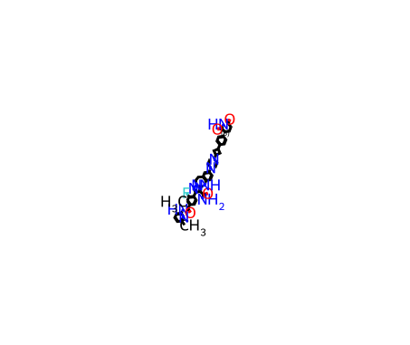 Cc1cccc(NC(=O)c2ccc(-c3nn4c(c3C(N)=O)Nc3ccc(N5CCN(C6CC(c7ccc([C@@H]8CCC(=O)NC8=O)cc7)C6)CC5)cc3CC4)c(F)c2C)n1